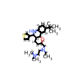 CCN(CCN(C)C)CC1CCC2C(c3ccsc3)Nc3ccc(C(C)(C)C)cc3C2O1